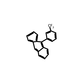 FC(F)(F)c1cccc(-c2c3ccccc3cc3ccccc23)c1